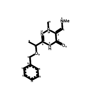 CN/C=C1/C(=O)NC(C(C)OCc2ccccc2)=NN1C